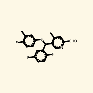 Cc1cc(SC(c2cnc(C=O)cc2C)c2cc(F)ccc2F)ccc1F